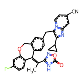 CC(=C1c2ccc(Cc3c(C4CC4)nc4cc(C#N)ccn34)cc2COc2cc(F)ccc21)c1noc(=O)[nH]1